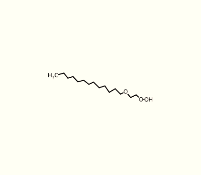 CCCCCCCCCCCCCOCCOO